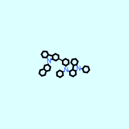 c1ccc(N(c2cccc(-c3ccc4c5ccccc5n(-c5ccc6ccccc6c5)c4c3)c2)c2cccc3c2c2ccccc2n3-c2ccccc2)cc1